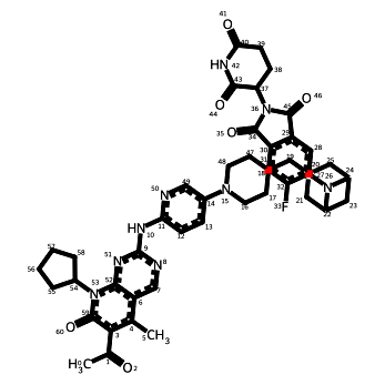 CC(=O)c1c(C)c2cnc(Nc3ccc(N4CCC(CN5CC6CC(C5)N6c5cc6c(cc5F)C(=O)N(C5CCC(=O)NC5=O)C6=O)CC4)cn3)nc2n(C2CCCC2)c1=O